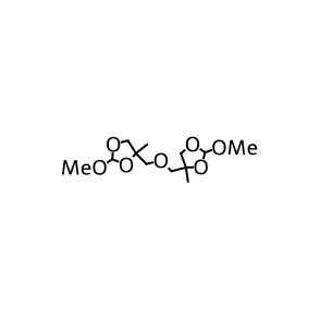 COC1OCC(C)(COCC2(C)COC(OC)O2)O1